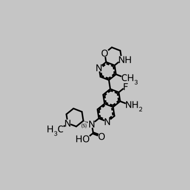 Cc1c(-c2cc3cc(N(C(=O)O)[C@H]4CCCN(C)C4)ncc3c(N)c2F)cnc2c1NCCO2